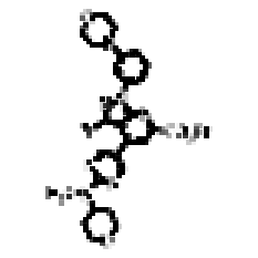 CCOC(=O)c1cc(-c2cnc(N(C)C3CCOCC3)nc2)c2c(C(C)C)nn(-c3cccc(N4CCOCC4)c3)c2n1